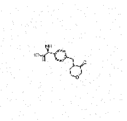 N=C(NO)c1ccc(CN2CCOCC2=O)cc1